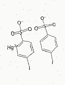 O=S(=O)([O-])c1ccc(I)cc1.O=S(=O)([O-])c1ccc(I)cc1.[Hg+2]